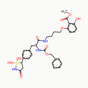 COC(=O)c1c(O)cccc1OCCCCNC(=O)[C@H](Cc1ccc(C2CC(=O)NS2(O)O)cc1)NC(=O)OCc1ccccc1